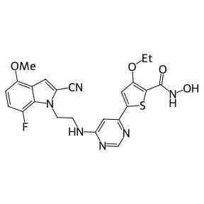 CCOc1cc(-c2cc(NCCn3c(C#N)cc4c(OC)ccc(F)c43)ncn2)sc1C(=O)NO